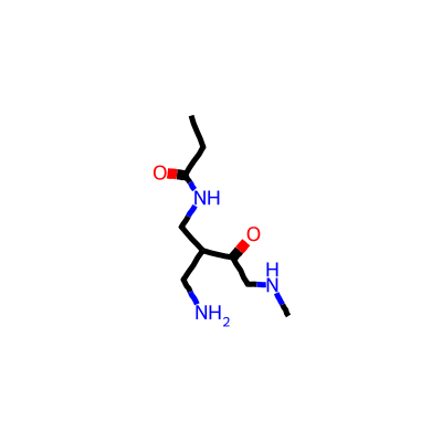 CCC(=O)NCC(CN)C(=O)CNC